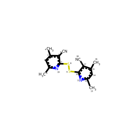 Cc1cc(C)c(C#N)c(SSc2nc(C)cc(C)c2C#N)n1